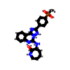 CS(=O)(=O)c1ccc(-c2nc3c4ccccc4nc(Nc4ccccnc4=O)n3n2)cc1